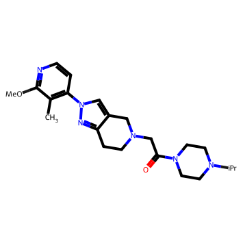 COc1nccc(-n2cc3c(n2)CCN(CC(=O)N2CCN(C(C)C)CC2)C3)c1C